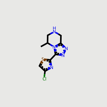 CC1CNCc2nnc(-c3nc(Cl)cs3)n21